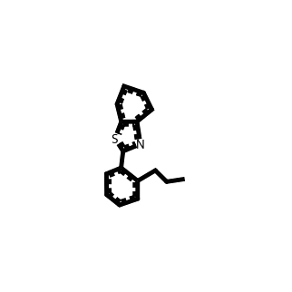 CCCc1ccccc1-c1nc2ccccc2s1